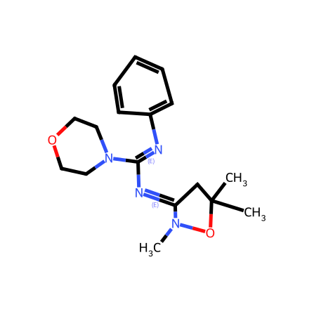 CN1OC(C)(C)C/C1=N\C(=N\c1ccccc1)N1CCOCC1